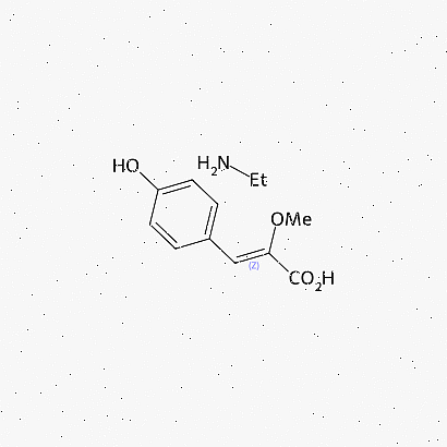 CCN.CO/C(=C\c1ccc(O)cc1)C(=O)O